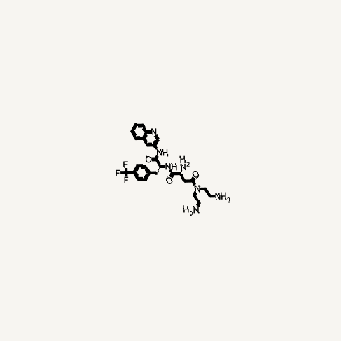 NCCN(CCN)C(=O)C[C@@H](N)C(=O)N[C@H](Cc1ccc(C(F)(F)F)cc1)C(=O)Nc1cnc2ccccc2c1